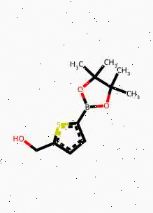 CC1(C)OB(c2ccc(CO)s2)OC1(C)C